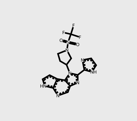 O=S(=O)(N1CCC(n2c(-c3ncc[nH]3)nc3cnc4[nH]ccc4c32)C1)C(F)(F)F